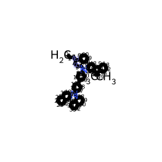 C=C/C=C(\C=C/CN(c1ccc(-c2ccc(N(c3ccc4ccccc4c3)c3cccc4ccccc34)cc2)cc1)c1ccc2c(c1)C(C)(C)c1ccccc1-2)c1ccccc1